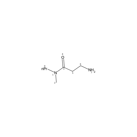 CCCN(C)C(=O)CCN